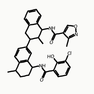 Cc1nocc1C(=O)NC1c2ccccc2CC(c2ccc3c(c2)C(NC(=O)c2cccc(Cl)c2O)CCC3C)C1C